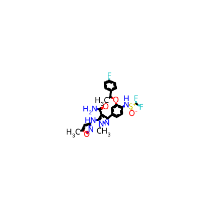 Cc1cc(Nc2c(C(N)=O)c(-c3ccc(N[S+]([O-])C(F)F)c(OC(C)c4ccc(F)cc4)c3)nn2C)no1